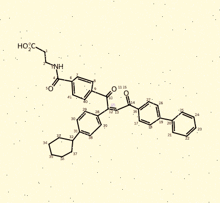 O=C(O)CCNC(=O)c1ccc(C(=O)/C(=C\C(=O)c2ccc(-c3ccccc3)cc2)c2ccc(C3CCCCC3)cc2)cc1